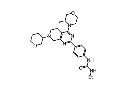 CCNC(=O)Nc1ccc(-c2nc3c(c(N4CCOC[C@@H]4C)n2)CCN(C2CCCOC2)C3)cc1